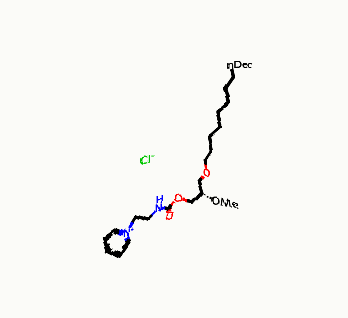 CCCCCCCCCCCCCCCCCCOC[C@@H](COC(=O)NCC[n+]1ccccc1)OC.[Cl-]